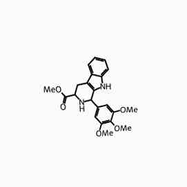 COC(=O)C1Cc2c([nH]c3ccccc23)C(c2cc(OC)c(OC)c(OC)c2)N1